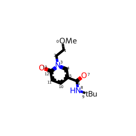 COCCn1cc(C(=O)NC(C)(C)C)ccc1=O